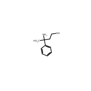 NC(CCO)(C(=O)O)c1ccccc1